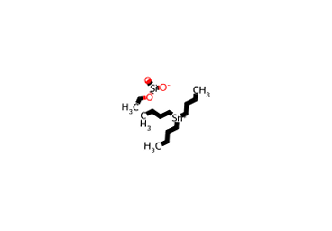 CCC[CH2][Sn+]([CH2]CCC)[CH2]CCC.CCO[Si](=O)[O-]